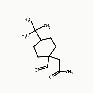 CC(=O)CC1(C=O)CCC(C(C)(C)C)CC1